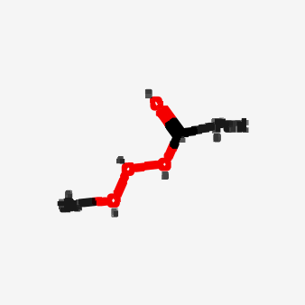 CCCC(C)C(=O)OOOC(C)(C)C